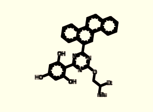 CCCCC(CC)COc1nc(-c2c(O)cc(O)cc2O)nc(-c2cc3c4ccccc4ccc3c3ccccc23)n1